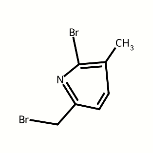 Cc1ccc(CBr)nc1Br